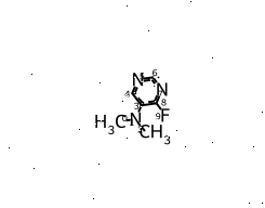 CN(C)c1cn[c]nc1F